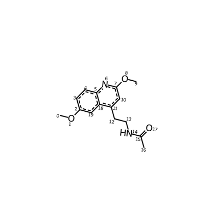 COc1ccc2nc(OC)cc(CCNC(C)=O)c2c1